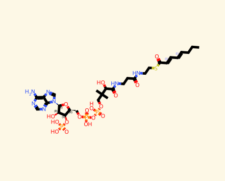 CCC/C=C/C=C/C(=O)SCCNC(=O)CCNC(=O)C(O)C(C)(C)COP(=O)(O)OP(=O)(O)OC[C@H]1O[C@@H](n2cnc3c(N)ncnc32)[C@H](O)[C@@H]1OP(=O)(O)O